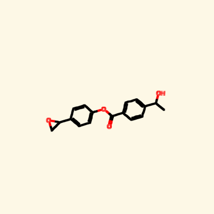 CC(O)c1ccc(C(=O)Oc2ccc(C3CO3)cc2)cc1